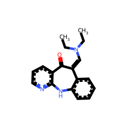 CCN(C=C1C(=O)c2cccnc2Nc2ccccc21)CC